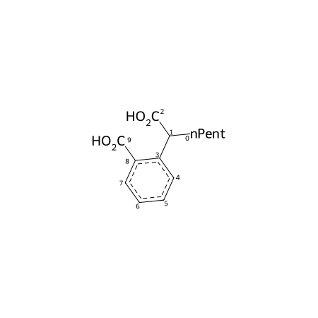 CCCCCC(C(=O)O)c1ccccc1C(=O)O